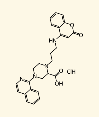 Cl.O=C(O)C1CN(c2nccc3ccccc23)CCN1CCCNc1cc(=O)oc2ccccc12